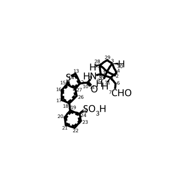 CC1(C)[C@H]2C[C@H](CC=O)[C@@H](NC(=O)c3csc4ccc(-c5ccccc5S(=O)(=O)O)cc34)[C@@H]1C2